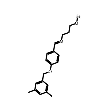 CCOCCCN=Cc1ccc(OCc2cc(C)cc(C)c2)cc1